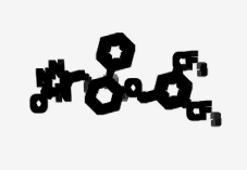 O=C1N=NC(C[C@H]2CCC[C@H](OCc3cc(C(F)(F)F)cc(C(F)(F)F)c3)[C@@H]2c2ccccc2)=N1